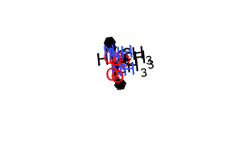 CN(C(=O)OC(C)(C)C)C(CNC(=O)OCc1ccccc1)COC(=O)Nc1cc2ccccc2cn1